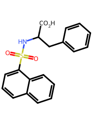 O=C(O)C(Cc1ccccc1)NS(=O)(=O)c1cccc2ccccc12